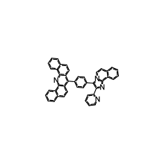 c1ccc(-c2nc3c4ccccc4ccn3c2-c2ccc(-c3c4ccc5ccccc5c4nc4c3ccc3ccccc34)cc2)nc1